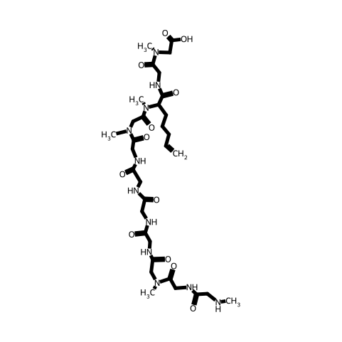 C=CCCCC(C(=O)NCC(=O)N(C)CC(=O)O)N(C)C(=O)CN(C)C(=O)CNC(=O)CNC(=O)CNC(=O)CNC(=O)CN(C)C(=O)CNC(=O)CNC